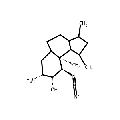 CC1CC(C)C2C1CCC1C[C@@H](C)[C@@H](O)[C@H](N=[N+]=[N-])[C@@]12C